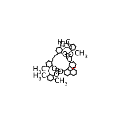 Cc1ccc(C)c2c1Cc1c(C)ccc3ccc4ccc(C)c5c4op(oc4ccc6ccccc6c4c4c(ccc6ccccc64)op(oc13)O2)Oc1c(C)ccc(C)c1C5